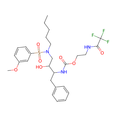 CCCCCN(CC(O)C(Cc1ccccc1)NC(=O)OCCNC(=O)C(F)(F)F)S(=O)(=O)c1cccc(OC)c1